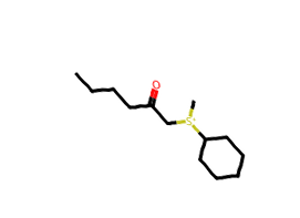 CCCCC(=O)C[S+](C)C1CCCCC1